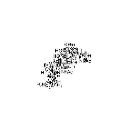 CC(=O)NC1C(NC(=O)C[C@H](NC(=O)[C@H](C)NC(=O)[C@@H](NC(=O)[C@@H](N)CCCCN)C(C)C)C(=O)N[C@@H](CCCCN)C(=O)N[C@H](C(=O)O)C(C)O)OC(CO)C(OC2OC(CO)C(OC3OC(COC4OC(CO)C(O)C(O)C4OC4OC(CO)C(O)C(O)C4NC(C)=O)C(O)C(OC4OC(CO)C(O)C(O)C4OC4OC(CO)C(O)C(O)C4NC(C)=O)C3O)C(O)C2NC(C)=O)C1O